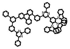 c1ccc(-c2cc(-c3cccc(-c4cc(-c5ccccc5)nc(-c5ccccc5)n4)c3)cc(-c3ccc4c(c3)c3ccccc3c3c(-c5cccc(-c6cc(-c7cc(-n8c9ccccc9c9ccccc98)c(-n8c9ccccc9c9ccccc98)c(-n8c9ccccc9c9ccccc98)c7)nc(-c7ccccc7)n6)c5)cccc43)c2)cc1